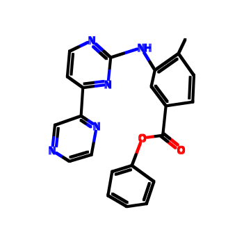 Cc1ccc(C(=O)Oc2ccccc2)cc1Nc1nccc(-c2cnccn2)n1